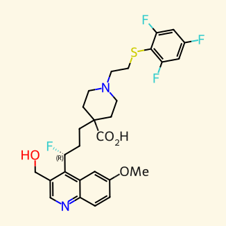 COc1ccc2ncc(CO)c([C@H](F)CCC3(C(=O)O)CCN(CCSc4c(F)cc(F)cc4F)CC3)c2c1